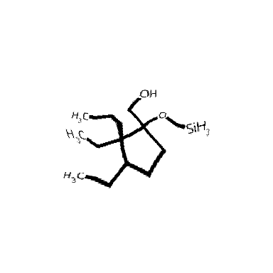 CCC1CCC(CO)(O[SiH3])C1(CC)CC